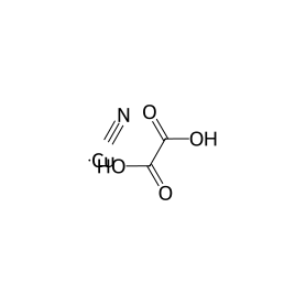 C#N.O=C(O)C(=O)O.[Cu]